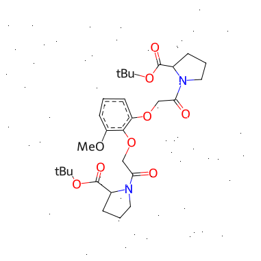 COc1cccc(OCC(=O)N2CCCC2C(=O)OC(C)(C)C)c1OCC(=O)N1CCCC1C(=O)OC(C)(C)C